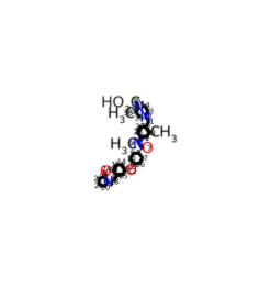 Cc1cc(N(C)C(=O)[C@H]2CC[C@H](Oc3cccc(CN4CCCC4=O)c3)CC2)ccc1CN1CCN(C(=O)O)[C@@H](C)C1